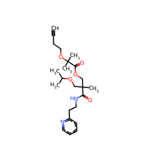 C#CCCOC(C)(C)C(=O)OCC(C)(COC(C)C)C(=O)NCCc1ccccn1